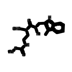 CCN(Cc1[nH]c2ccccc2c1C)C(=O)N(C=O)CCNC(=O)OC(C)(C)C